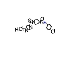 CC(C)(O)c1cc(C(=O)N2CCN(C(=O)/C=C/c3ccc(Cl)cc3)CC2)ncn1